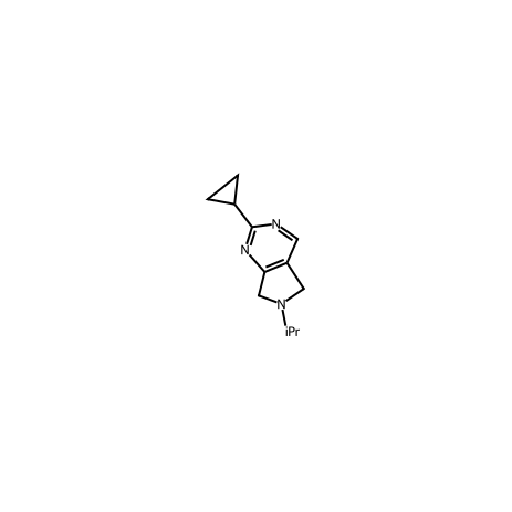 CC(C)N1Cc2cnc(C3CC3)nc2C1